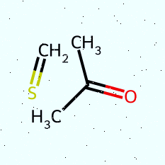 C=S.CC(C)=O